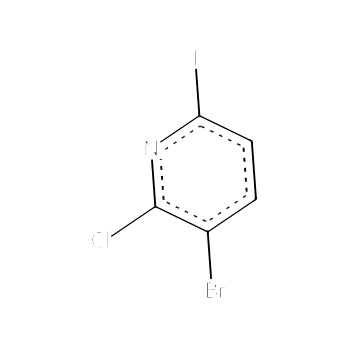 Clc1nc(I)ccc1Br